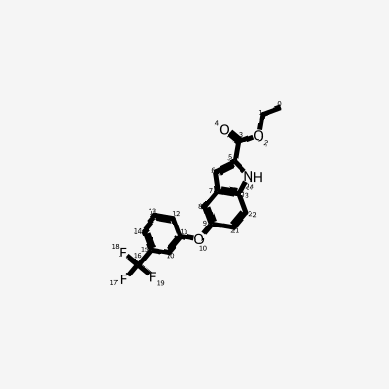 CCOC(=O)c1cc2cc(Oc3cccc(C(F)(F)F)c3)ccc2[nH]1